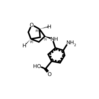 Nc1ccc(C(=O)O)cc1N[C@H]1C[C@H]2CO[C@@H]1C2